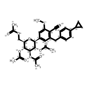 CSc1cc([C@@H]2O[C@H](COC(C)=O)[C@@H](OC(C)=O)[C@H](OC(C)=O)[C@H]2OC(C)=O)cc(Cc2ccc(C3CC3)cc2)c1C#N